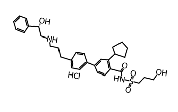 Cl.O=C(NS(=O)(=O)CCCO)c1ccc(-c2ccc(CCCNC[C@@H](O)c3ccccc3)cc2)cc1C1CCCC1